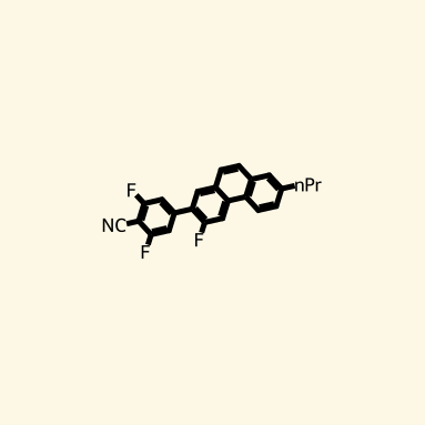 CCCc1ccc2c(ccc3cc(-c4cc(F)c(C#N)c(F)c4)c(F)cc32)c1